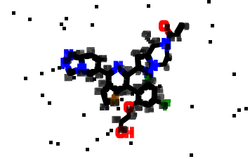 C=CC(=O)N1CCn2nc(-c3nc(-c4ccc5nncn5c4)c4ccsc4c3-c3c(F)cc(F)cc3OCCO)cc2[C@@H]1C